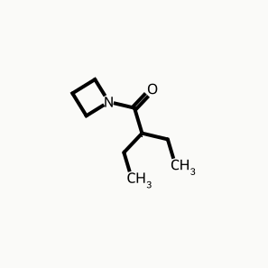 CC[C](CC)C(=O)N1CCC1